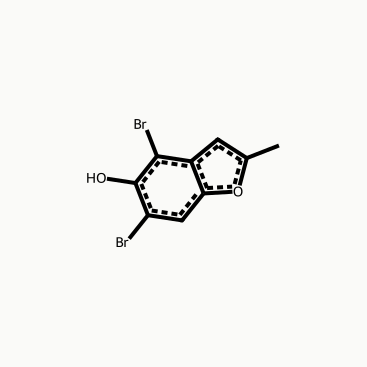 Cc1cc2c(Br)c(O)c(Br)cc2o1